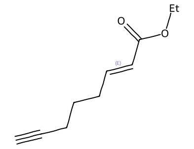 C#CCCC/C=C/C(=O)OCC